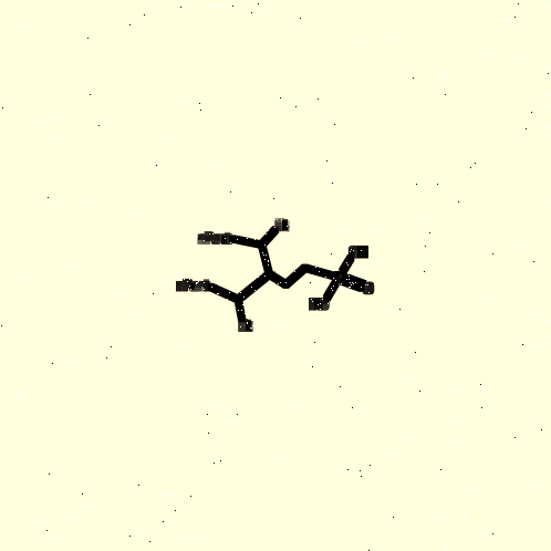 CCCCCC(CC)[C](CCP(=O)(O)O)C(CC)CCCCC